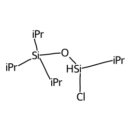 CC(C)[SiH](Cl)O[Si](C(C)C)(C(C)C)C(C)C